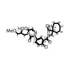 COCC(O)Cn1c(=O)cnn(-c2ccc(Cl)c(C(=O)NCC3(CO)CCCCCC3)c2)c1=O